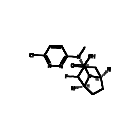 CN(c1ccc(Cl)nn1)[C@@H]1C[C@H]2CC[C@@H](C1F)N2C(=O)O